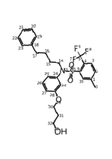 Cc1ccc(C(F)(F)F)c(S(=O)(=O)N(CCCCc2ccccc2)c2cccc(OCCCO)c2)c1